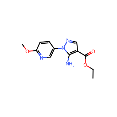 CCOC(=O)c1cnn(-c2ccc(OC)nc2)c1N